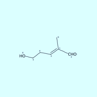 CC([C]=O)=CCCO